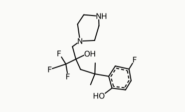 CC(C)(CC(O)(CN1CCNCC1)C(F)(F)F)c1cc(F)ccc1O